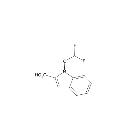 O=C(O)c1cc2ccccc2n1OC(F)F